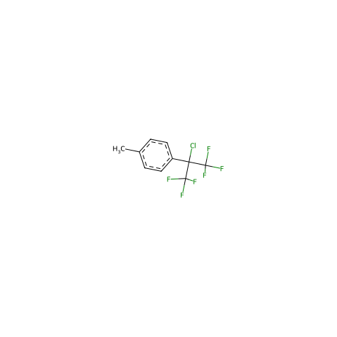 Cc1ccc(C(Cl)(C(F)(F)F)C(F)(F)F)cc1